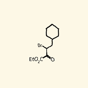 CCOC(=O)C(=O)C(Br)CC1CCCCC1